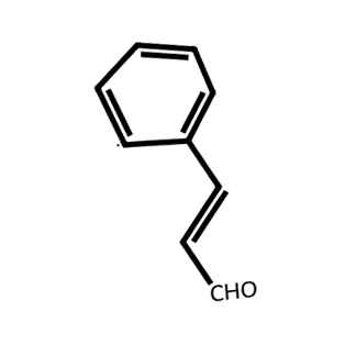 O=CC=Cc1[c]cccc1